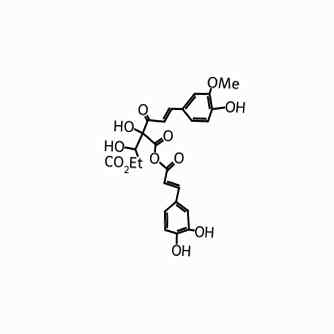 CCOC(=O)C(O)C(O)(C(=O)/C=C/c1ccc(O)c(OC)c1)C(=O)OC(=O)/C=C/c1ccc(O)c(O)c1